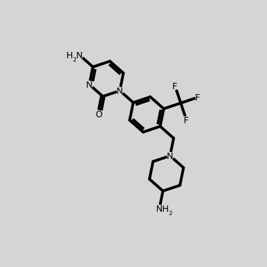 Nc1ccn(-c2ccc(CN3CCC(N)CC3)c(C(F)(F)F)c2)c(=O)n1